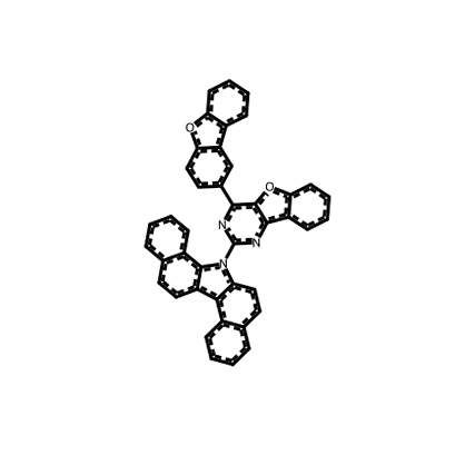 c1ccc2c(c1)ccc1c2c2ccc3ccccc3c2n1-c1nc(-c2ccc3oc4ccccc4c3c2)c2oc3ccccc3c2n1